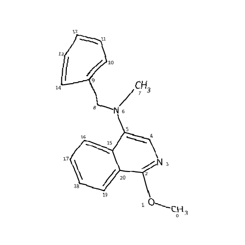 COc1ncc(N(C)Cc2ccccc2)c2ccccc12